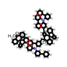 CC1(C)c2ccccc2C2(c3ccccc3-c3c(-c4cccc(N(c5cccc(-c6ccccc6)c5)c5ccc(CC6(C)c7ccccc7C7(c8ccccc8-c8ccccc87)c7cc(-c8ccc(N(c9ccccc9-c9ccccc9)c9ccccc9-c9ccccc9)cc8)ccc76)cc5-c5ccccc5)c4)cccc32)c2ccccc21